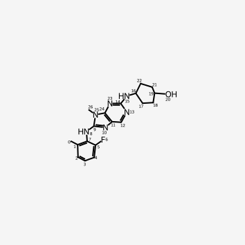 Cc1cccc(F)c1Nc1nc2cnc(NC3CCC(O)CC3)nc2n1C